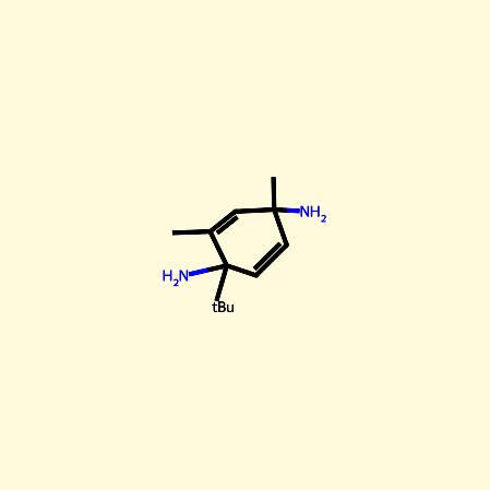 CC1=CC(C)(N)C=CC1(N)C(C)(C)C